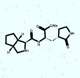 COC(=O)[C@H](C[C@@H]1CCNC1=O)NC(=O)[C@H]1NC[C@@H]2CCC[C@@H]21